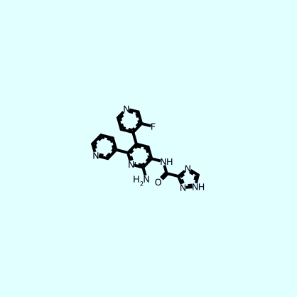 Nc1nc(-c2cccnc2)c(-c2ccncc2F)cc1NC(=O)c1nc[nH]n1